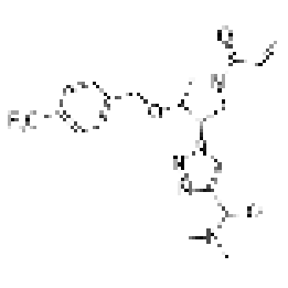 C=CC(=O)N1CC(OCc2ccc(C(F)(F)F)cc2)C(n2cc(C(=O)N(C)C)nn2)C1